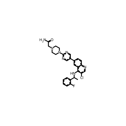 CC(Nc1c(Cl)cnc2ccc(-c3cnc(N4CCN(CC(N)=O)CC4)nc3)cc12)c1ccccc1F